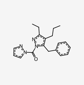 CCCc1c(CC)nn(C(=O)n2cccn2)c1Cc1ccccc1